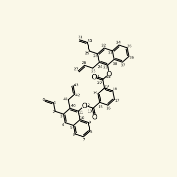 C=CCc1cc2ccccc2c(OC(=O)c2cccc(C(=O)Oc3c(CC=C)c(CC=C)cc4ccccc34)c2)c1CC=C